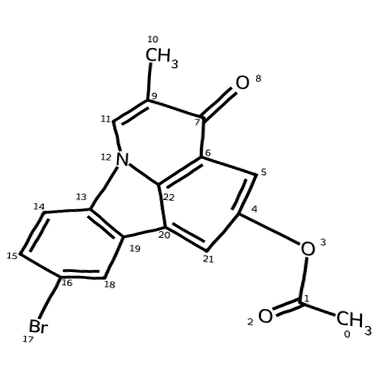 CC(=O)Oc1cc2c(=O)c(C)cn3c4ccc(Br)cc4c(c1)c23